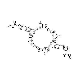 CCOC(=O)c1cnn(Cc2ccc(C[C@H]3OC(=O)[C@H](CC(C)C)N(C)C(=O)[C@@H](C)OC(=O)[C@H](CC(C)C)N(C)C(=O)[C@@H](Cc4cccc(Cn5cc(C(=O)OCC)cn5)c4)OC(=O)[C@H](CC(C)C)N(C)C(=O)[C@@H](C)OC(=O)[C@H](CC(C)C)N(C)C3=O)cc2)c1